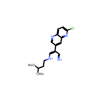 COC(CCN/C=C(\C=N)c1cnc2ccc(Cl)nc2c1)OC